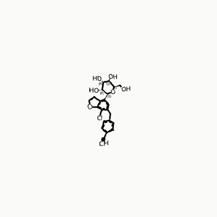 C#Cc1ccc(Cc2cc([C@@H]3O[C@H](CO)[C@@H](O)[C@H](O)[C@H]3O)c3c(c2Cl)OCC3)cc1